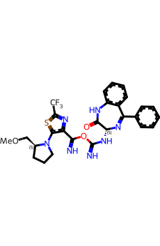 COC[C@@H]1CCCN1c1sc(C(F)(F)F)nc1C(=N)OC(=N)N[C@H]1N=C(c2ccccc2)c2ccccc2NC1=O